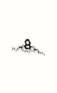 COC(=O)Oc1cc(C)c(OC(=O)OC)c2ccccc12